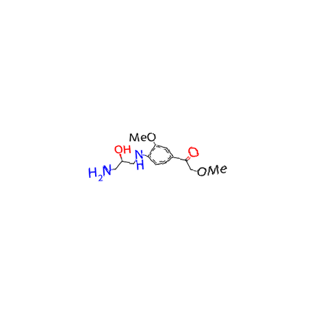 COCC(=O)c1ccc(NC[C@H](O)CN)c(OC)c1